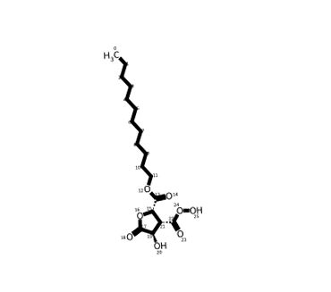 CCCCCCCCCCCCOC(=O)[C@H]1OC(=O)[C@H](O)[C@H]1C(=O)OO